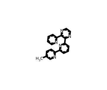 Cc1ccc(-c2cccc(-c3nccnc3-c3ccccn3)n2)nc1